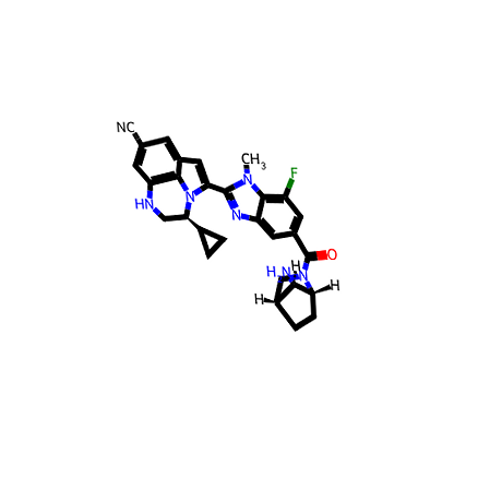 Cn1c(-c2cc3cc(C#N)cc4c3n2[C@@H](C2CC2)CN4)nc2cc(C(=O)N3C[C@H]4CC[C@@H]3[C@@H]4N)cc(F)c21